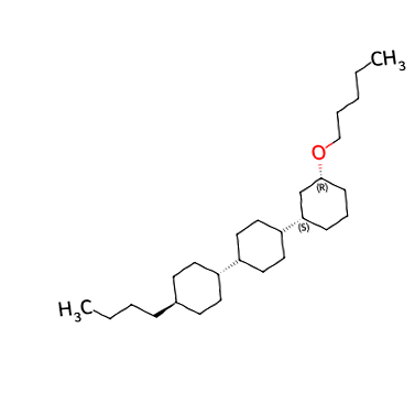 CCCCCO[C@@H]1CCC[C@H](C2CCC([C@H]3CC[C@H](CCCC)CC3)CC2)C1